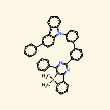 C[Si]1(C)c2ccccc2-c2nc(-c3cccc(-c4cccc(-n5c6ccccc6c6cc(-c7ccccc7)ccc65)c4)c3)nc(-c3ccccc3)c21